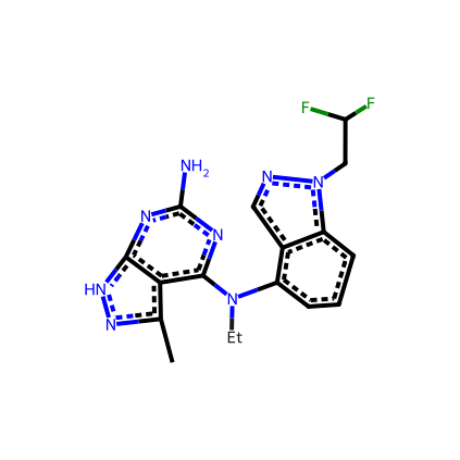 CCN(c1cccc2c1cnn2CC(F)F)c1nc(N)nc2[nH]nc(C)c12